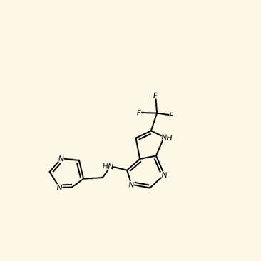 FC(F)(F)c1cc2c(NCc3cncnc3)ncnc2[nH]1